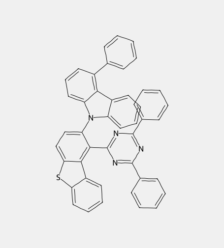 c1ccc(-c2nc(-c3ccccc3)nc(-c3c(-n4c5ccccc5c5c(-c6ccccc6)cccc54)ccc4sc5ccccc5c34)n2)cc1